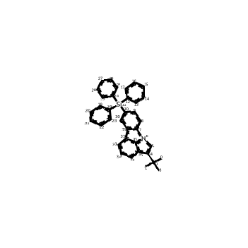 CC(C)(C)c1cn2c3ccc([Si](c4ccccc4)(c4ccccc4)c4ccccc4)cc3c3cccc1c32